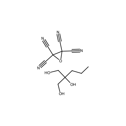 CCCC(O)(CO)CO.N#CC1(C#N)OC1(C#N)C#N